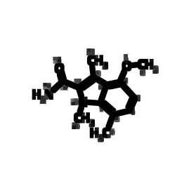 COc1ccc(C)c2c1c(C)c(C(N)=O)n2C